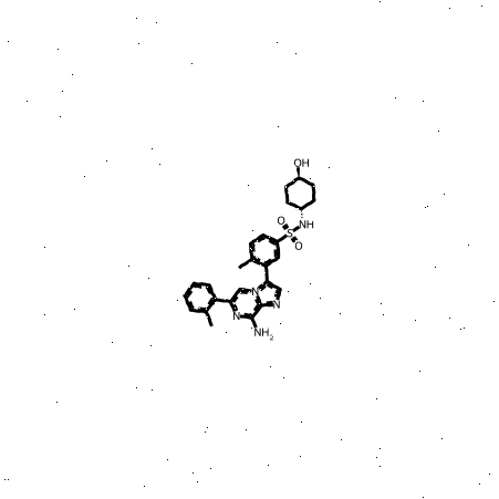 Cc1ccccc1-c1cn2c(-c3cc(S(=O)(=O)N[C@H]4CC[C@H](O)CC4)ccc3C)cnc2c(N)n1